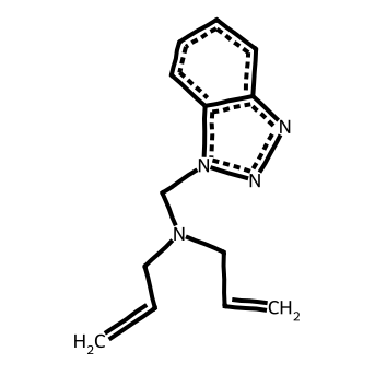 C=CCN(CC=C)Cn1nnc2ccccc21